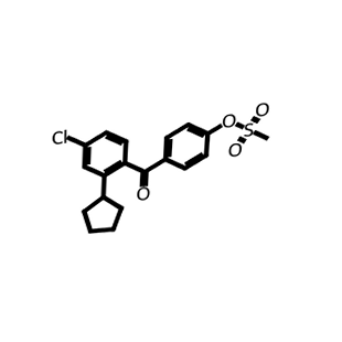 CS(=O)(=O)Oc1ccc(C(=O)c2ccc(Cl)cc2C2CCCC2)cc1